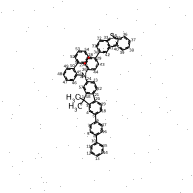 CC1(C)c2cc(-c3ccc(-c4ccccc4)cc3)ccc2-c2ccc(N(c3ccc(-c4ccc5sc6ccccc6c5c4)cc3)c3ccccc3-c3ccccc3)cc21